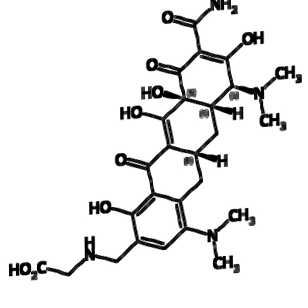 CN(C)c1cc(CNCC(=O)O)c(O)c2c1C[C@H]1C[C@H]3[C@H](N(C)C)C(O)=C(C(N)=O)C(=O)[C@@]3(O)C(O)=C1C2=O